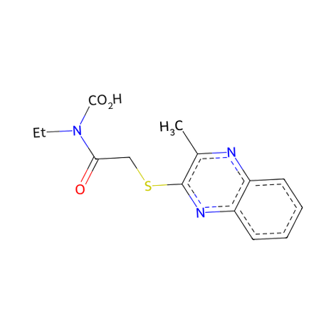 CCN(C(=O)O)C(=O)CSc1nc2ccccc2nc1C